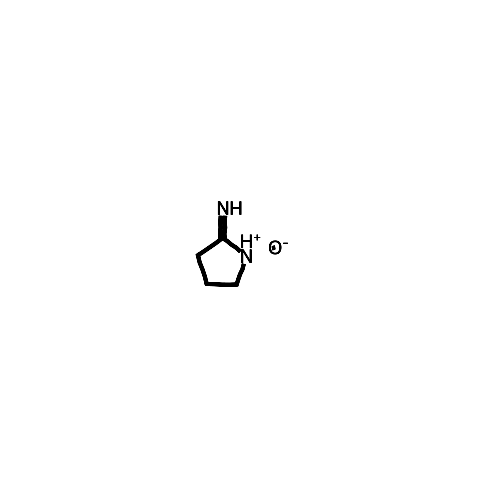 N=C1CCC[NH+]1[O-]